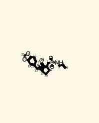 C=CCNS(=O)(=O)CC12CCC(/C(=C/c3ccc4c(c3)OCO4)C1=O)C2(C)C